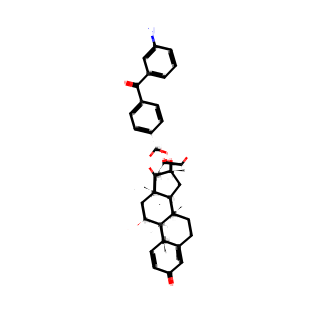 C[C@]12C=CC(=O)C=C1CC[C@@H]1[C@@H]2[C@@H](O)C[C@@]2(C)[C@H]1C[C@H]1O[C@@H](c3ccc(C(=O)c4cccc(N)c4)cc3)O[C@]12C(=O)CO